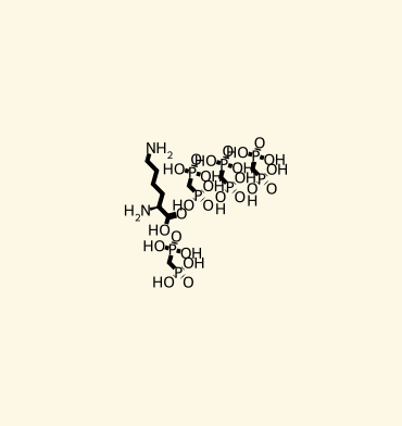 NCCCC[C@H](N)C(=O)O.O=P(O)(O)CP(=O)(O)O.O=P(O)(O)CP(=O)(O)O.O=P(O)(O)CP(=O)(O)O.O=P(O)(O)CP(=O)(O)O